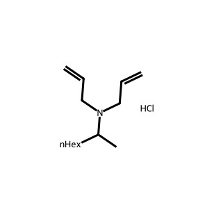 C=CCN(CC=C)C(C)CCCCCC.Cl